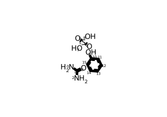 NC(N)=O.O=S(=O)(O)O.Oc1ccccc1